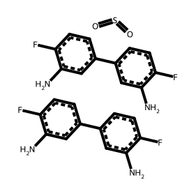 Nc1cc(-c2ccc(F)c(N)c2)ccc1F.Nc1cc(-c2ccc(F)c(N)c2)ccc1F.O=S=O